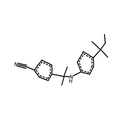 CCC(C)(C)c1ccc(NC(C)(C)c2ccc(C#N)cc2)cc1